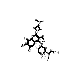 CN(C)C1CN(c2nc3c(F)c(Br)c(Cl)cc3c3c2cnn3[C@H]2CCN(C(=O)O)[C@H](CCO)C2)C1